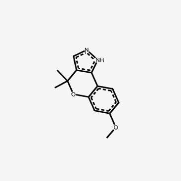 COc1ccc2c(c1)OC(C)(C)c1cn[nH]c1-2